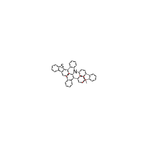 CC1(C)c2ccccc2-c2ccc(N(c3ccccc3-c3cccc4c3sc3ccccc34)c3ccc4ccccc4c3-c3ccccc3)cc21